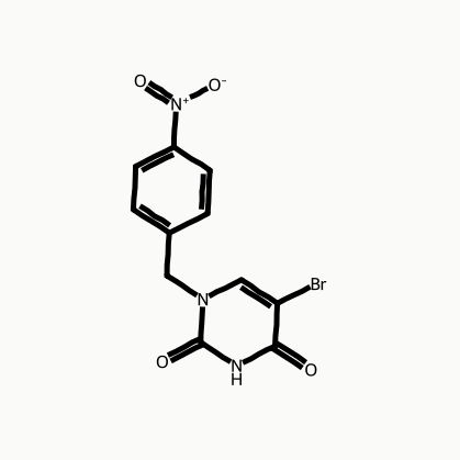 O=c1[nH]c(=O)n(Cc2ccc([N+](=O)[O-])cc2)cc1Br